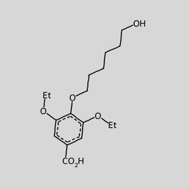 CCOc1cc(C(=O)O)cc(OCC)c1OCCCCCCO